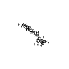 CN1CCN(S(=O)(=O)c2ccc(N3CCC(NC[C@H](O)c4ccc(O)c(NS(C)(=O)=O)c4)CC3)cc2)CC1